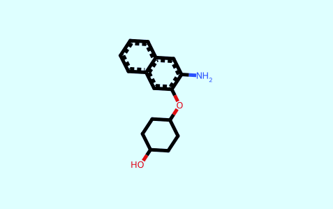 Nc1cc2ccccc2cc1OC1CCC(O)CC1